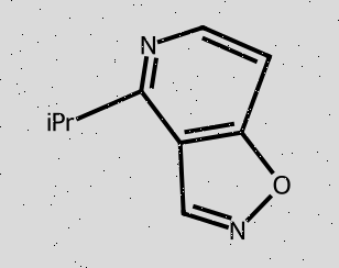 CC(C)c1nccc2oncc12